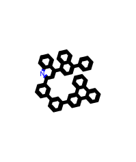 c1ccc(-c2ccc(-c3cc(-c4cccc(-c5cccc(-c6ccc7c8ccccc8c8ccccc8c7c6)c5)c4)nc4ccccc34)c3ccccc23)cc1